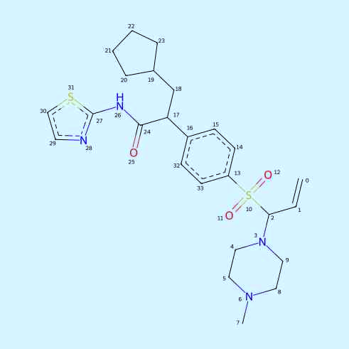 C=CC(N1CCN(C)CC1)S(=O)(=O)c1ccc(C(CC2CCCC2)C(=O)Nc2nccs2)cc1